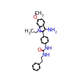 CCn1c(-c2ccc(NC(=O)NCCc3ccccc3)cc2)c(N)c2ccc(OC)cc21